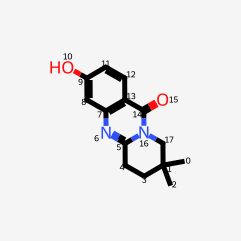 CC1(C)CCc2nc3cc(O)ccc3c(=O)n2C1